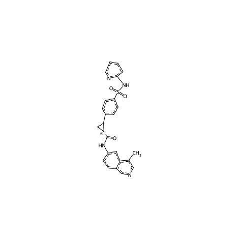 Cc1cncc2ccc(NC(=O)[C@@H]3CC3c3ccc(S(=O)(=O)Nc4ccccn4)cc3)cc12